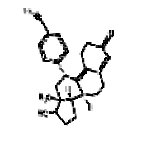 C#Cc1ccc([C@H]2C[C@@]3(C)C(O)CC[C@H]3[C@@H]3CCC4=CC(=O)CCC4=C32)cc1